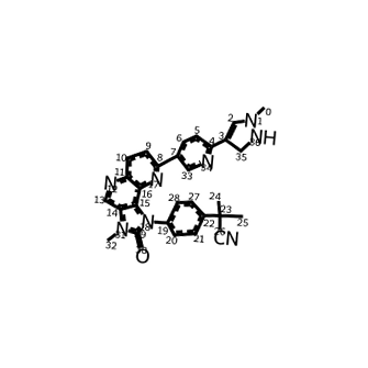 CN1C=C(c2ccc(-c3ccc4ncc5c(c4n3)n(-c3ccc(C(C)(C)C#N)cc3)c(=O)n5C)cn2)CN1